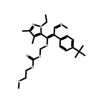 CCn1nc(C)c(C)c1/C(OCOC(=O)OCCSC)=C(\C=N/C)c1ccc(C(C)(C)C)cc1